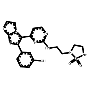 O=S1(=O)NCCN1CCNc1nccc(-c2c(-c3cccc(O)c3)nc3occn23)n1